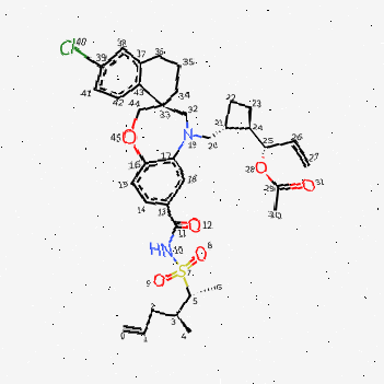 C=CC[C@H](C)[C@@H](C)S(=O)(=O)NC(=O)c1ccc2c(c1)N(C[C@@H]1CC[C@H]1[C@H](C=C)OC(C)=O)C[C@@]1(CCCc3cc(Cl)ccc31)CO2